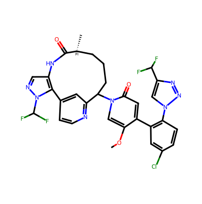 COc1cn(C2CCC[C@@H](C)C(=O)Nc3cnn(C(F)F)c3-c3ccnc2c3)c(=O)cc1-c1cc(Cl)ccc1-n1cc(C(F)F)nn1